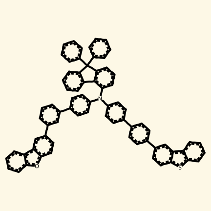 c1ccc(C2(c3ccccc3)c3ccccc3-c3c(N(c4ccc(-c5ccc(-c6ccc7sc8ccccc8c7c6)cc5)cc4)c4ccc(-c5cccc(-c6ccc7oc8ccccc8c7c6)c5)cc4)cccc32)cc1